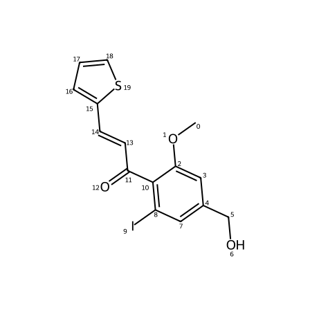 COc1cc(CO)cc(I)c1C(=O)/C=C/c1cccs1